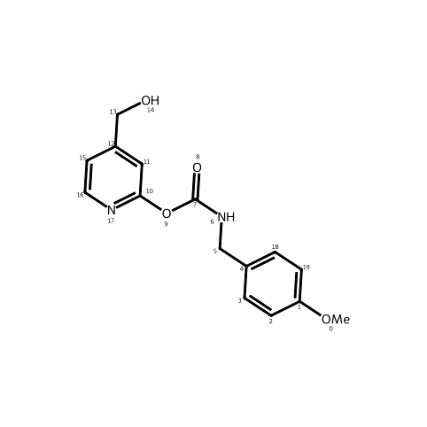 COc1ccc(CNC(=O)Oc2cc(CO)ccn2)cc1